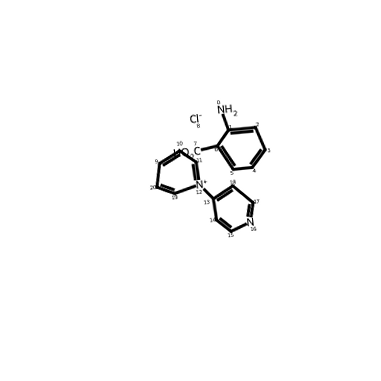 Nc1ccccc1C(=O)O.[Cl-].c1cc[n+](-c2ccncc2)cc1